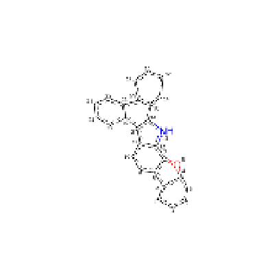 c1ccc2c(c1)oc1c2ccc2c1[nH]c1c3ccccc3c3ccccc3c21